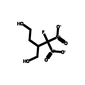 O=[N+]([O-])C(F)(C(CO)CCO)[N+](=O)[O-]